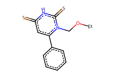 CCOCn1c(-c2ccccc2)cc(=S)[nH]c1=S